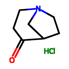 Cl.O=C1CCN2CCC1C2